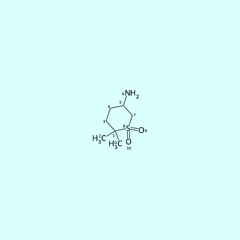 CC1(C)CCC(N)CS1(=O)=O